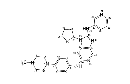 CN1CCN(c2ccc(Nc3ncc4nc(Nc5cccnc5)n(C5CCCC5)c4n3)cc2)CC1